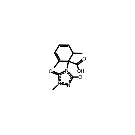 CC1=CC=CC(C)C1(C(=O)O)n1c(Cl)nn(C)c1=O